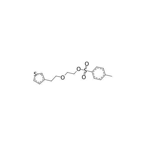 Cc1ccc(S(=O)(=O)OCCOCCc2ccsc2)cc1